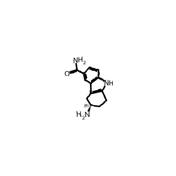 NC(=O)c1ccc2[nH]c3c(c2c1)C[C@H](N)CC3